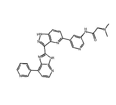 CN(C)CC(=O)Nc1cncc(-c2ccc3[nH]nc(-c4nc5c(-c6cccnc6)ccnc5[nH]4)c3n2)c1